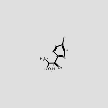 NC(C(=O)O)C(=O)c1ccc(I)cc1